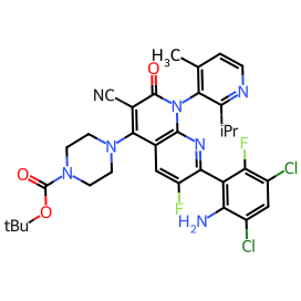 Cc1ccnc(C(C)C)c1-n1c(=O)c(C#N)c(N2CCN(C(=O)OC(C)(C)C)CC2)c2cc(F)c(-c3c(N)c(Cl)cc(Cl)c3F)nc21